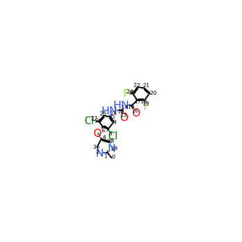 Cc1ncc(Oc2c(Cl)cc(NC(=O)NC(=O)c3c(F)cccc3F)cc2Cl)cn1